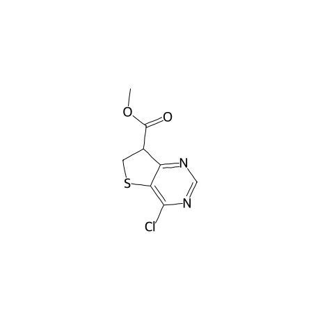 COC(=O)C1CSc2c(Cl)ncnc21